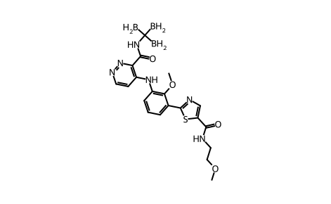 BC(B)(B)NC(=O)c1nnccc1Nc1cccc(-c2ncc(C(=O)NCCOC)s2)c1OC